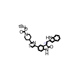 CC(C)(C)OC(=O)N1CCC(c2nc(-c3ccc4c(c3)/C(=C/c3cc5ccccc5[nH]3)C(=O)N4)cs2)CC1